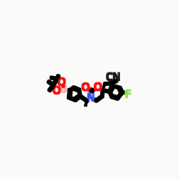 C[C@@H](c1ccc(B2OC(C)(C)C(C)(C)O2)cc1)N1CC[C@@](CC(C)(C)C#N)(c2ccc(F)cc2)OC1=O